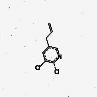 C=CCc1cnc(Cl)c(Cl)c1